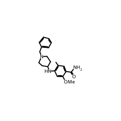 COc1cc(NC2CCN(Cc3ccccc3)CC2)c(C)cc1C(N)=O